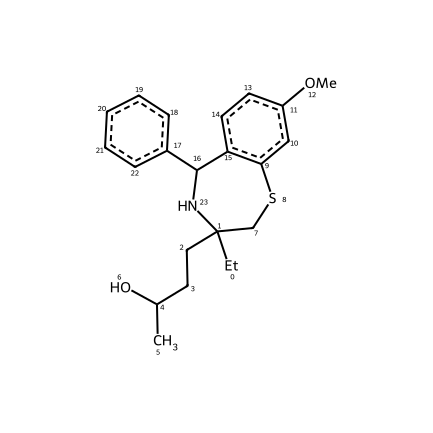 CCC1(CCC(C)O)CSc2cc(OC)ccc2C(c2ccccc2)N1